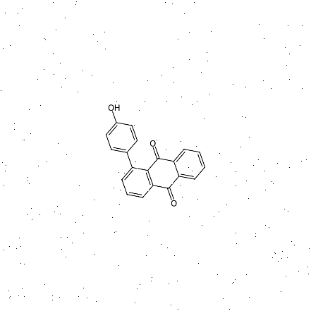 O=C1c2ccccc2C(=O)c2c1cccc2-c1ccc(O)cc1